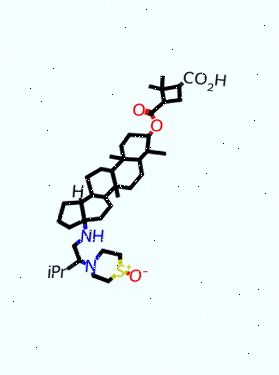 CC(C)C(CNC12CCC[C@@H]1C1CCC3C4(C)CCC(OC(=O)C5CC(C(=O)O)C5(C)C)C(C)C4CCC3(C)C1CC2)N1CC[S+]([O-])CC1